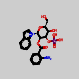 Nc1ccccc1C(=O)O[C@@H]1[C@@H](OP(=O)(O)O)[C@H](O)[C@@H](CO)O[C@H]1n1ccc2ccccc21